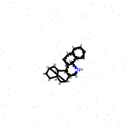 c1ccc2c(c1)ccc1c3c(cnc12)C1CC2CCC1CC32